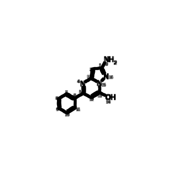 Nc1cc2nc(-c3ccccc3)cc(O)n2n1